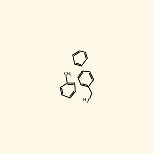 CCc1ccccc1.Cc1ccccc1.c1ccccc1